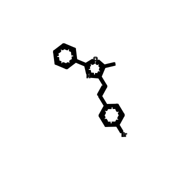 Cc1oc(-c2ccccc2)nc1/C=C/c1ccc(Br)cc1